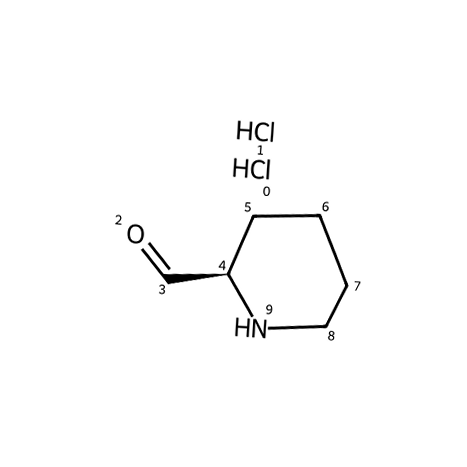 Cl.Cl.O=C[C@H]1CCCCN1